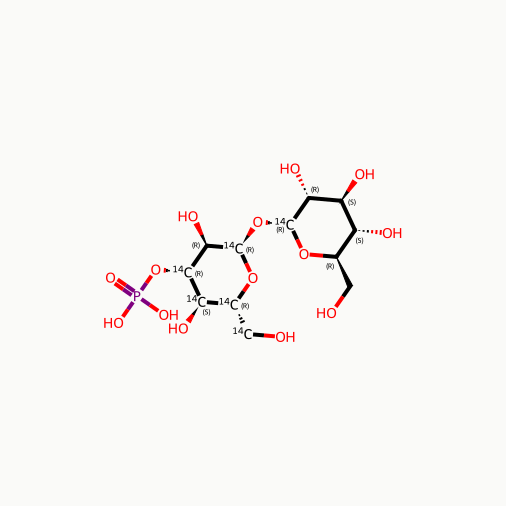 O=P(O)(O)O[14C@@H]1[C@@H](O)[14C@@H](O[14C@H]2O[C@H](CO)[C@@H](O)[C@H](O)[C@H]2O)O[14C@H]([14CH2]O)[14C@H]1O